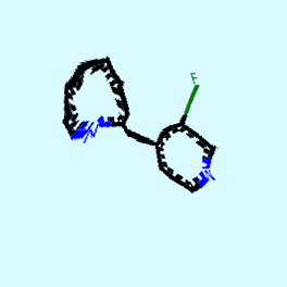 Fc1[c]nccc1-c1ccccn1